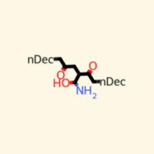 CCCCCCCCCCCC(=O)CC(C(=O)CCCCCCCCCCC)C(N)O